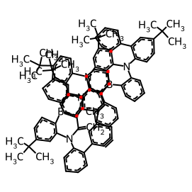 C=C1C2=C(C)N(c3ccccc3-c3ccccc3)c3cc(C(C)(C)C)ccc3B2c2ccc(C(C)(C)C)cc2N1c1ccccc1-c1c#ccc(-c2ccc3c(c2)B2c4ccccc4N(c4ccc(C(C)(C)C)cc4-c4ccccc4)c4cc(C(C)(C)C)cc(c42)N3c2ccc(C(C)(C)C)cc2-c2ccccc2)c1